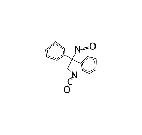 O=C=NCC(N=C=O)(c1ccccc1)c1ccccc1